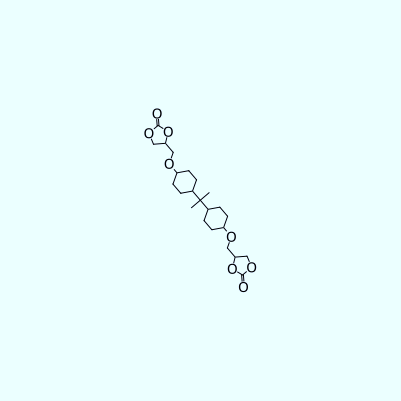 CC(C)(C1CCC(OCC2COC(=O)O2)CC1)C1CCC(OCC2COC(=O)O2)CC1